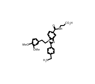 COc1ccc(CCn2c(-c3ccc(CN)cc3)nc3cc(C(=O)NCCC(=O)O)ccc32)cc1OC